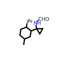 CC1CCC(C(C)C)C(C2(NC=O)CC2)C1